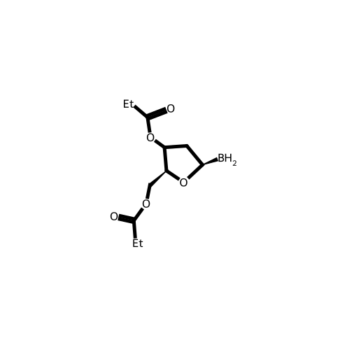 B[C@@H]1CC(OC(=O)CC)[C@H](COC(=O)CC)O1